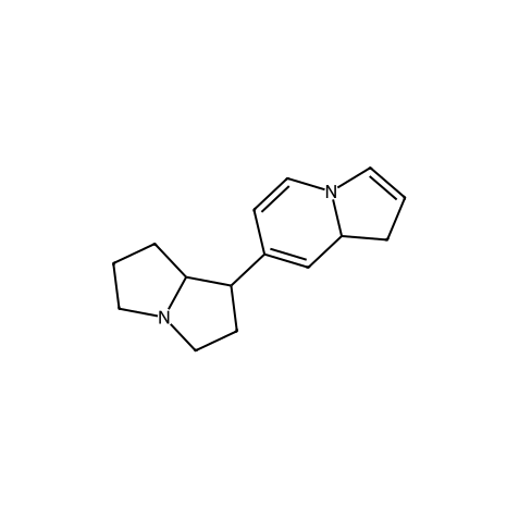 C1=CN2C=CC(C3CCN4CCCC34)=CC2C1